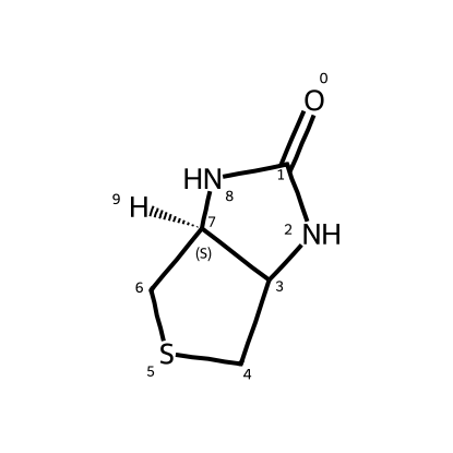 O=C1NC2CSC[C@H]2N1